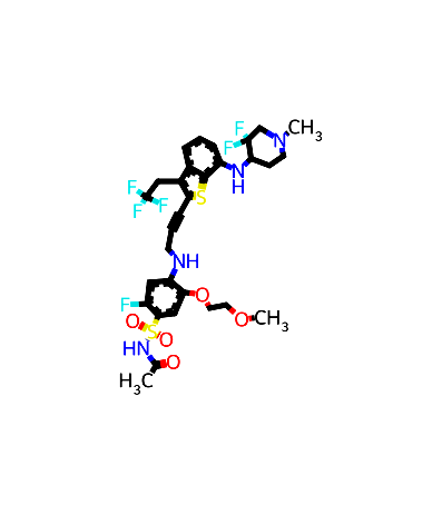 COCCOc1cc(S(=O)(=O)NC(C)=O)c(F)cc1NCC#Cc1sc2c(NC3CCN(C)CC3(F)F)cccc2c1CC(F)(F)F